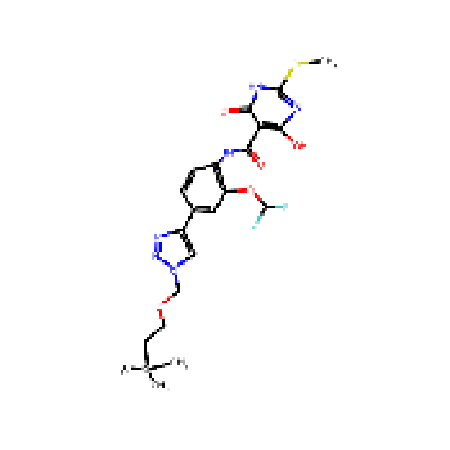 CSc1nc(O)c(C(=O)Nc2ccc(-c3cn(COCC[Si](C)(C)C)nn3)cc2OC(F)F)c(=O)[nH]1